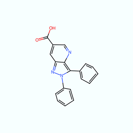 O=C(O)c1cnc2c(-c3ccccc3)n(-c3ccccc3)nc2c1